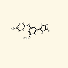 CC(=O)N1CCC(Oc2cc(C(=O)O)cc(-c3ncc(C)s3)c2)CC1